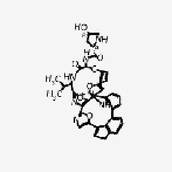 CC(C)C1NC(=O)C(NC(=O)[C@@H]2C[C@@H](O)CN2)Cc2ccc3c(c2)C24c5cccc(c5N[C@H]2O3)-c2cccc3c2C(=CC3)c2cnc(o2)-c2nc1oc24